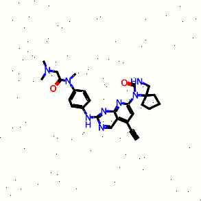 C#Cc1cc(N2C(=O)NCC23CCCC3)nc2nc(Nc3ccc(N(C)C(=O)CN(C)C)cc3)ncc12